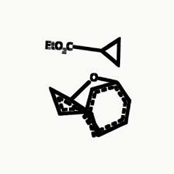 CCOC(=O)C1CC1.c1cc2cc3ccc2cc1O3